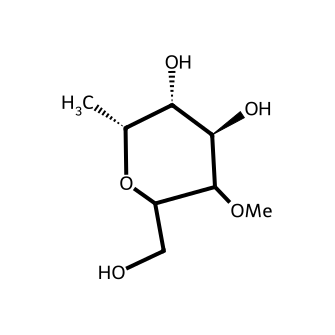 COC1C(CO)O[C@H](C)[C@H](O)[C@H]1O